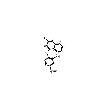 COc1ccc2c(c1)Nc1ccnc3cc(F)cc(c13)O2